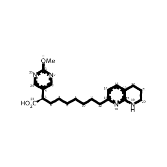 COc1ncc([C@@H](CCCCCCCc2ccc3c(n2)NCCC3)C(=O)O)cn1